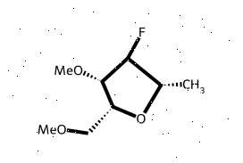 COC[C@H]1O[C@@H](C)C(F)[C@H]1OC